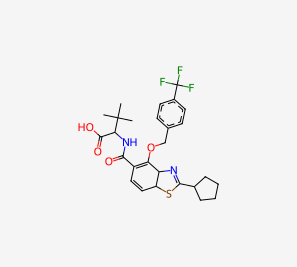 CC(C)(C)C(NC(=O)C1=C(OCc2ccc(C(F)(F)F)cc2)C2N=C(C3CCCC3)SC2C=C1)C(=O)O